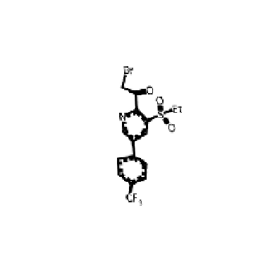 CCS(=O)(=O)c1cc(-c2ccc(C(F)(F)F)cc2)cnc1C(=O)CBr